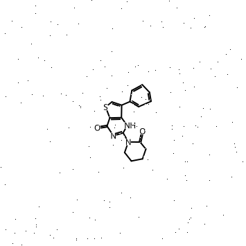 O=C1CCCCN1c1nc(=O)c2scc(-c3ccccc3)c2[nH]1